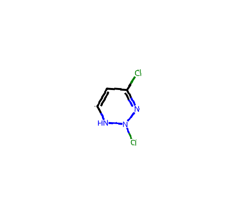 ClC1=NN(Cl)N[C]=C1